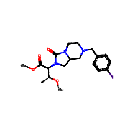 C[C@@H](OC(C)(C)C)[C@@H](C(=O)OC(C)(C)C)N1CC2CN(Cc3ccc(I)cc3)CCN2C1=O